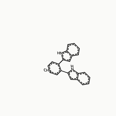 C.c1ccc(-c2cc3ccccc3[nH]2)c(-c2cc3ccccc3[nH]2)c1